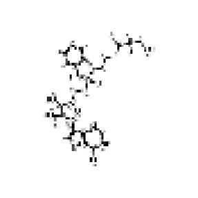 CC(C)(CO)C(=O)SCCOP(=O)(Nc1ccccc1)OC[C@H]1O[C@@H](n2cnc3c(=O)[nH]cnc32)[C@@](C)(O)C1O